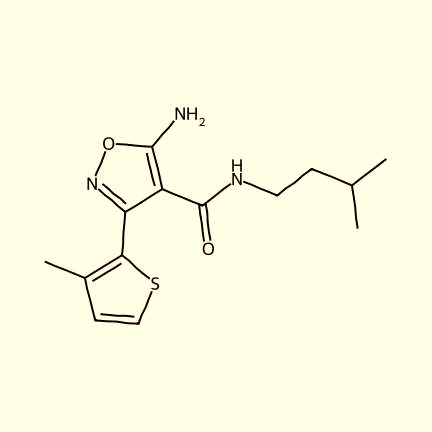 Cc1ccsc1-c1noc(N)c1C(=O)NCCC(C)C